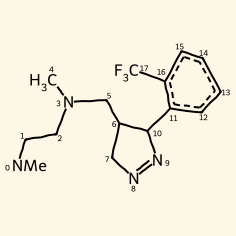 CNCCN(C)CC1CN=NC1c1ccccc1C(F)(F)F